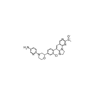 C[S+]([O-])c1ncc2c(n1)N1CCN=C1C(c1ccc(C3CN(c4ccc(N)cn4)CCO3)cc1Cl)=C2